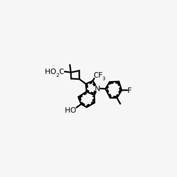 Cc1cc(-n2c(C(F)(F)F)c(C3CC(C)(C(=O)O)C3)c3cc(O)ccc32)ccc1F